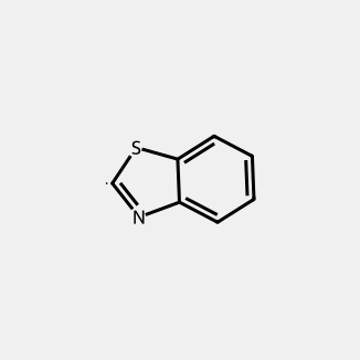 [c]1nc2ccccc2s1